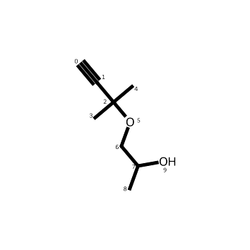 C#CC(C)(C)OCC(C)O